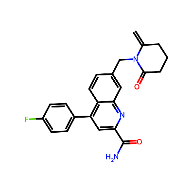 C=C1CCCC(=O)N1Cc1ccc2c(-c3ccc(F)cc3)cc(C(N)=O)nc2c1